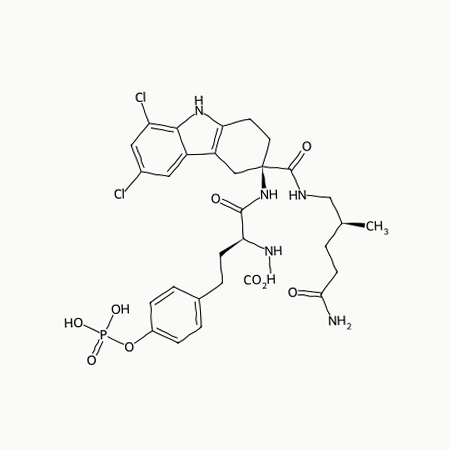 C[C@@H](CCC(N)=O)CNC(=O)[C@@]1(NC(=O)[C@H](CCc2ccc(OP(=O)(O)O)cc2)NC(=O)O)CCc2[nH]c3c(Cl)cc(Cl)cc3c2C1